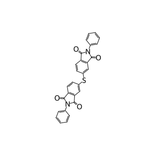 O=C1c2ccc(Sc3ccc4c(c3)C(=O)N(c3ccccc3)C4=O)cc2C(=O)N1c1ccccc1